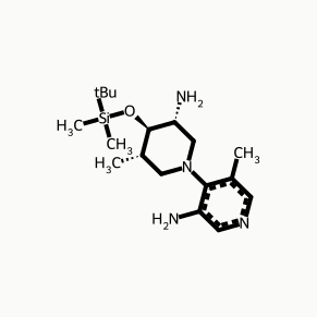 Cc1cncc(N)c1N1C[C@@H](N)[C@H](O[Si](C)(C)C(C)(C)C)[C@@H](C)C1